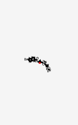 O=C(NC12CC(c3nnc(C4CC(OC(F)(F)F)C4)o3)(C1)C2)c1ccc2cc(Br)ccc2n1